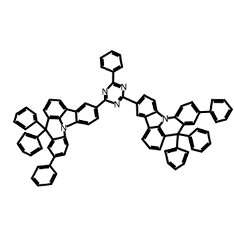 c1ccc(-c2ccc3c(c2)C(c2ccccc2)(c2ccccc2)c2cccc4c5cc(-c6nc(-c7ccccc7)nc(-c7ccc8c(c7)c7cccc9c7n8-c7ccc(-c8ccccc8)cc7C9(c7ccccc7)c7ccccc7)n6)ccc5n-3c24)cc1